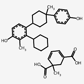 CC1(C(=O)O)C=CC=C(C(=O)O)C1.Cc1c(O)ccc(C2CCC(C)(c3ccc(O)cc3)CC2)c1C1CCCCC1